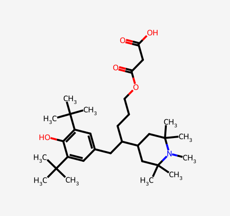 CN1C(C)(C)CC(C(CCCOC(=O)CC(=O)O)Cc2cc(C(C)(C)C)c(O)c(C(C)(C)C)c2)CC1(C)C